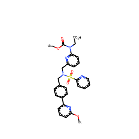 CCOc1cccc(-c2ccc(CN(Cc3cccc(N(CC(=O)O)C(=O)OC(C)(C)C)n3)S(=O)(=O)c3ccccn3)cc2)n1